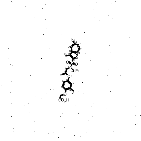 CCCN(CC(C)Oc1ccc(OCC(=O)O)c(C)c1)S(=O)(=O)c1sc2ccc(F)cc2c1C